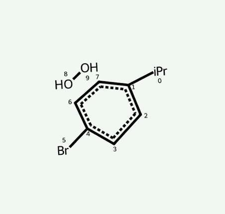 CC(C)c1ccc(Br)cc1.OO